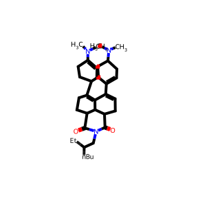 CCCCC(CC)CN1C(=O)C2CC=C(C3=CCC(N(C)C)CC3)C3=C(C4CC=C(N(C)C)CC4)CCC(C1=O)C32